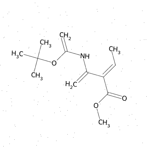 C=C(NC(=C)/C(=C\C)C(=O)OC)OC(C)(C)C